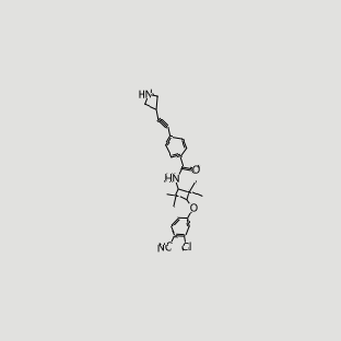 CC1(C)C(NC(=O)c2ccc(C#CC3CNC3)cc2)C(C)(C)C1Oc1ccc(C#N)c(Cl)c1